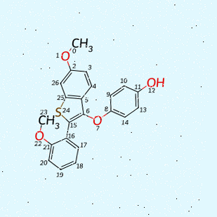 COc1ccc2c(Oc3ccc(O)cc3)c(-c3ccccc3OC)sc2c1